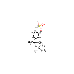 CC(C)(C)CC(C)(C)c1ccc(CS(=O)(=O)O)cc1